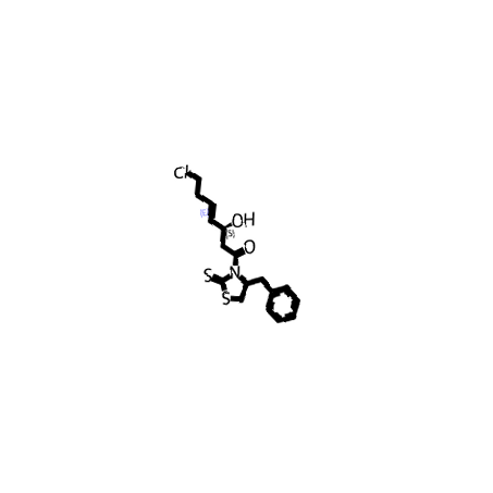 O=C(C[C@H](O)/C=C/CCCl)N1C(=S)SCC1Cc1ccccc1